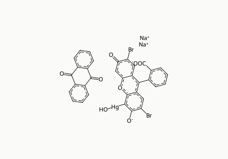 O=C([O-])c1ccccc1-c1c2cc(Br)c(=O)cc-2oc2[c]([Hg][OH])c([O-])c(Br)cc12.O=C1c2ccccc2C(=O)c2ccccc21.[Na+].[Na+]